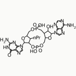 CCCC1C2COP(=O)(O)CC3C(COP(=O)(O)OC1C(n1cnc4c(=O)[nH]c(N)nc41)O2)OC(n1cnc2c(N)ncnc21)C3O